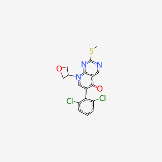 CSc1ncc2c(=O)c(-c3c(Cl)cccc3Cl)cn(C3COC3)c2n1